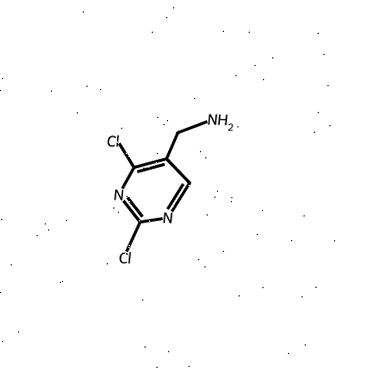 NCc1cnc(Cl)nc1Cl